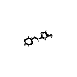 Brc1csc(OCC2CCOCC2)n1